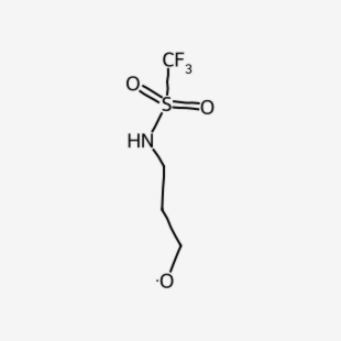 [O]CCCNS(=O)(=O)C(F)(F)F